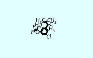 C[C@H](c1cc(Cl)cc(OC(F)(F)F)c1)C(C)(C)C